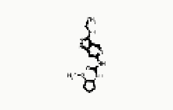 CCNc1n[nH]c2cc(NC(=O)N[C@@H]3CCC[C@H]3OC)ncc12